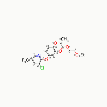 CCOCCOC(=O)[C@@H](C)Oc1ccc(Oc2ncc(C(F)(F)F)cc2Cl)cc1